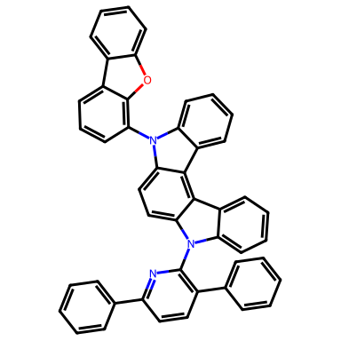 c1ccc(-c2ccc(-c3ccccc3)c(-n3c4ccccc4c4c5c6ccccc6n(-c6cccc7c6oc6ccccc67)c5ccc43)n2)cc1